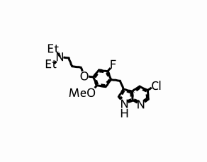 CCN(CC)CCCOc1cc(F)c(Cc2c[nH]c3ncc(Cl)cc23)cc1OC